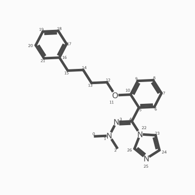 CN(C)/N=C(/c1ccccc1OCCCCc1ccccc1)n1ccnc1